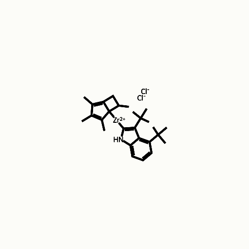 CC1=C(C)[C]2([Zr+2][c]3[nH]c4cccc(C(C)(C)C)c4c3C(C)(C)C)C(=C1C)CC2C.[Cl-].[Cl-]